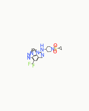 CC(C)n1nnc2c(C(F)F)cc3cnc(NC4CCN(S(=O)(=O)C5CC5)CC4)nc3c21